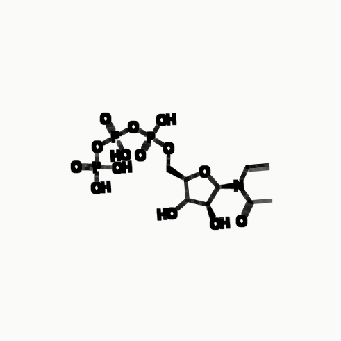 C=CN(C(C)=O)[C@@H]1O[C@H](COP(=O)(O)OP(=O)(O)OP(=O)(O)O)C(O)[C@@H]1O